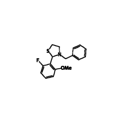 COc1cccc(F)c1C1SCCN1Cc1ccccc1